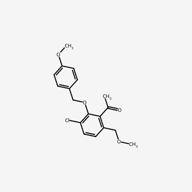 COCc1ccc(Cl)c(OCc2ccc(OC)cc2)c1C(C)=O